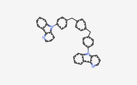 c1ccc2c(c1)c1ncccc1n2-c1ccc(Cc2ccc(Cc3ccc(-n4c5ccccc5c5ncccc54)cc3)cc2)cc1